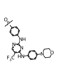 CP(C)(=O)c1ccc(Nc2ncc(C(F)(F)F)c(Nc3ccc(N4CCOCC4)cc3)n2)cc1